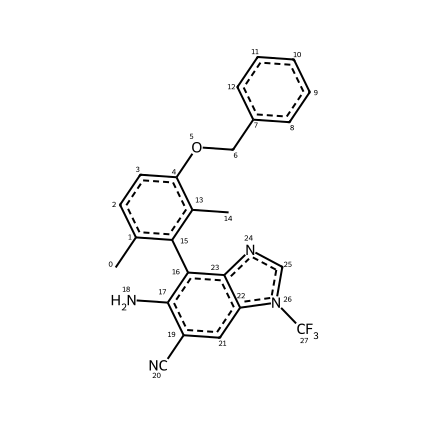 Cc1ccc(OCc2ccccc2)c(C)c1-c1c(N)c(C#N)cc2c1ncn2C(F)(F)F